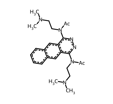 CC(=O)N(CCN(C)C)c1nnc(N(CCN(C)C)C(C)=O)c2cc3ccccc3cc12